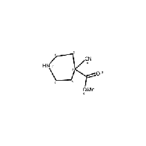 COC(=O)C1(C#N)CCNCC1